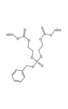 CCCCCCCCOC(=O)OCCOP(=O)(OCCOC(=O)OCCCCCCCC)OCc1ccccc1